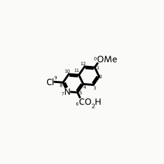 COc1ccc2c(C(=O)O)nc(Cl)cc2c1